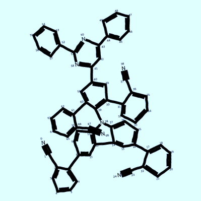 N#Cc1ccccc1-c1ccc2c(c1)c1cc(-c3ccccc3C#N)ccc1n2-c1c(-c2ccccc2C#N)cc(-c2cc(-c3ccccc3)nc(-c3ccccc3)n2)cc1-c1ccccc1C#N